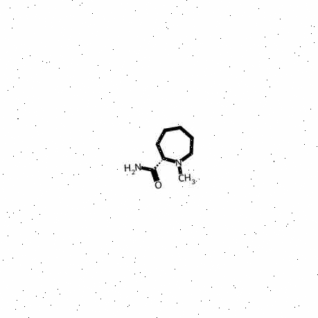 CN1CCCCC[C@H]1C(N)=O